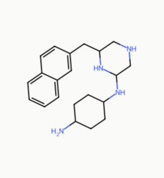 NC1CCC(NC2CNCC(Cc3ccc4ccccc4c3)N2)CC1